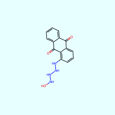 O=C1c2ccccc2C(=O)c2c(NNNNO)cccc21